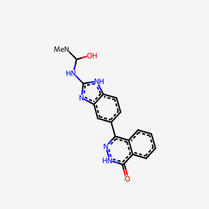 CNC(O)Nc1nc2cc(-c3n[nH]c(=O)c4ccccc34)ccc2[nH]1